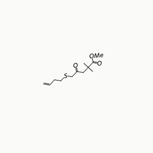 C=CCCSCC(=O)CC(C)(C)C(=O)OC